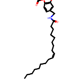 CCCCCCCC/C=C\CCCCCCCC(=O)NCc1ccc(OC(C)=O)c(OC)c1